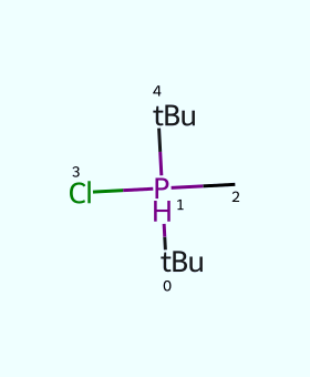 CC(C)(C)[PH](C)(Cl)C(C)(C)C